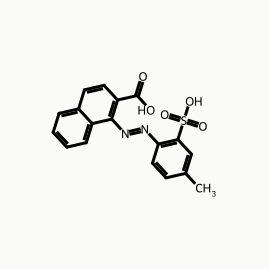 Cc1ccc(/N=N/c2c(C(=O)O)ccc3ccccc23)c(S(=O)(=O)O)c1